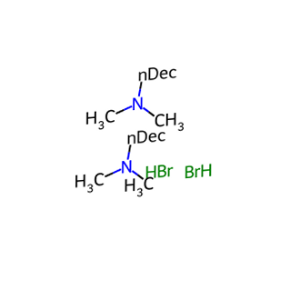 Br.Br.CCCCCCCCCCN(C)C.CCCCCCCCCCN(C)C